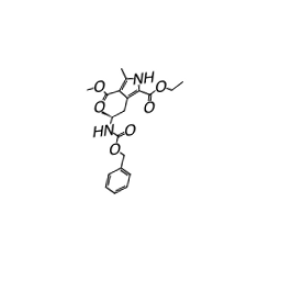 CCOC(=O)c1[nH]c(C)c(C(=O)OC)c1C[C@H](C)NC(=O)OCc1ccccc1